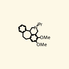 COc1cc2c3c(c1OC)CN(C(C)C)CC3c1ccccc1CC2